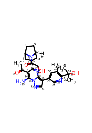 CC(=O)c1c([C@@H]2CC3CC[C@@H](C2)N3C(=O)CO)nc2c(-c3cnc(C(C)(C)O)c(C)c3)cnn2c1N